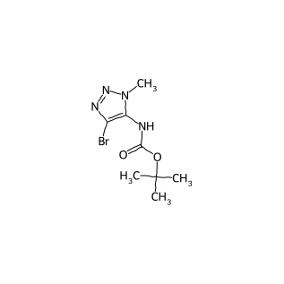 Cn1nnc(Br)c1NC(=O)OC(C)(C)C